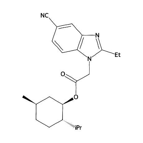 CCc1nc2cc(C#N)ccc2n1CC(=O)O[C@@H]1C[C@H](C)CC[C@H]1C(C)C